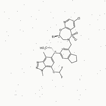 CC[C@@H]1CN(Cc2cc([C@@H](CC(=O)O)c3cc(OC(F)F)c4c(nnn4C)c3C)cc3c2CCC3)S(=O)(=O)c2cc(Cl)cnc2O1